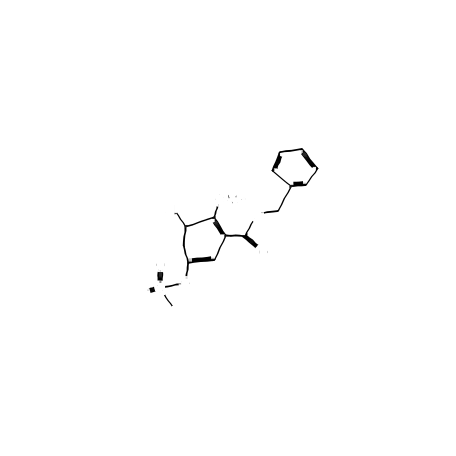 COC1=C(C(=O)OCc2ccccc2)C=C(OS(C)(=O)=O)CC1Cl